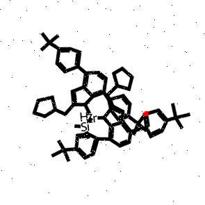 C[SiH](C)[Zr]([CH]1C(CC2CCCC2)=Cc2c(-c3ccc(C(C)(C)C)cc3)ccc(-c3ccc(C(C)(C)C)cc3)c21)[CH]1C(CC2CCCC2)=Cc2c(-c3ccc(C(C)(C)C)cc3)ccc(-c3ccc(C(C)(C)C)cc3)c21